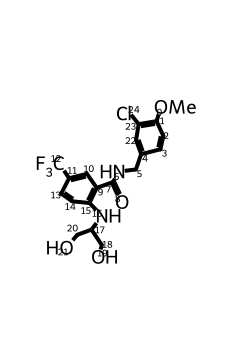 COc1ccc(CNC(=O)c2cc(C(F)(F)F)ccc2NC(CO)CO)cc1Cl